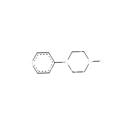 NN1CCN(c2ccncc2)CC1